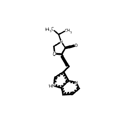 CC(C)N1CO/C(=C\c2c[nH]c3cccnc23)C1=O